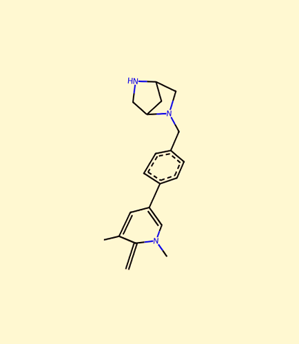 C=C1C(C)=CC(c2ccc(CN3CC4CC3CN4)cc2)=CN1C